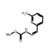 Cc1cccc(/C=N\NC(=O)OC(C)(C)C)n1